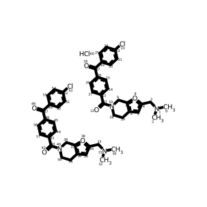 CN(C)Cc1cc2c(o1)CN(C(=O)c1ccc(C(=O)c3ccc(Cl)cc3)cc1)CC2.CN(C)Cc1cc2c(o1)CN(C(=O)c1ccc(C(=O)c3ccc(Cl)cc3)cc1)CC2.Cl